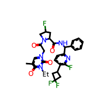 CCn1c(=O)c(C)cn(CC(=O)N2CC(F)CC2C(=O)NC(c2ccccc2)c2ccc(C3CC(F)(F)C3)c(F)n2)c1=O